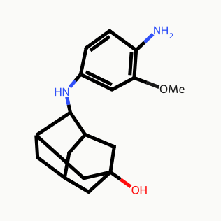 COc1cc(NC2C3CC4CC2CC(O)(C4)C3)ccc1N